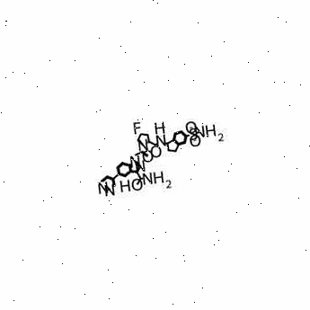 NC(O)c1nn(CC(=O)N2CC(F)CC2C(=O)NC2CCc3cc(S(N)(=O)=O)ccc32)c2ccc(-c3ccnnc3)cc12